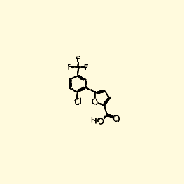 O=C(O)c1ccc(-c2cc(C(F)(F)F)ccc2Cl)o1